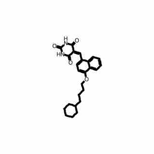 O=C1NC(=O)C(=Cc2ccc(OCCCCC3CCCCC3)c3ccccc23)C(=O)N1